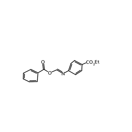 CCOC(=O)c1ccc(N=COC(=O)c2ccccc2)cc1